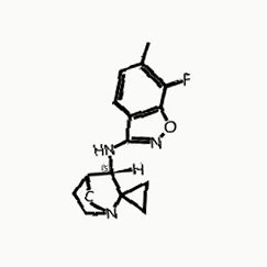 Cc1ccc2c(N[C@H]3C4CCN(CC4)C34CC4)noc2c1F